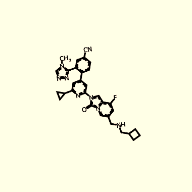 Cn1cnnc1-c1cc(C#N)ccc1-c1cc(C2CC2)nc(-n2cc3c(F)cc(CNCC4CCC4)cn3c2=O)c1